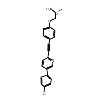 C[C@@H](N)COc1ccc(C#Cc2ccc(-c3ccc(Cl)cc3)cn2)cc1